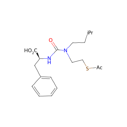 CC(=O)SCCN(CCC(C)C)C(=O)N[C@@H](Cc1ccccc1)C(=O)O